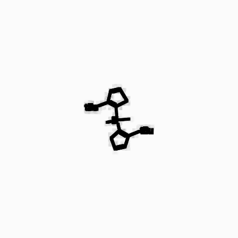 CC(C)(C)C1=C([Si](C)(C)C2=C(C(C)(C)C)C=CC2)CC=C1